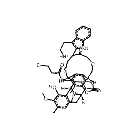 COc1c(C)cc2c(c1O)[C@@H]1C3[C@@H]4SC[C@]5(NCCc6c5[nH]c5ccccc65)C(=O)COC[C@@H](c5c6c(c(C)c(OC(=O)CCCl)c54)OCO6)N3[C@@H](C#N)[C@H](C2)N1C